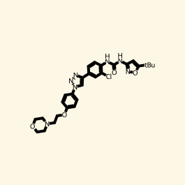 CC(C)(C)c1cc(NC(=O)Nc2ccc(-c3cn(-c4ccc(OCCN5CCOCC5)cc4)nn3)cc2Cl)no1